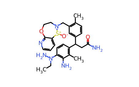 CCN(N)c1ccc(C(CC(N)=O)c2ccc(C)c(CN3CCOc4ncccc4[S+]3[O-])c2)c(C)c1N